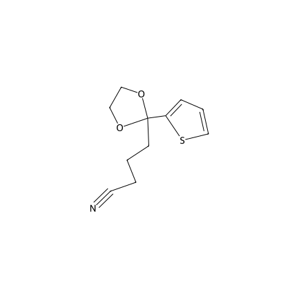 N#CCCCC1(c2cccs2)OCCO1